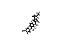 Cc1cc(C(F)(F)F)nc2c1cc(C(=O)c1c(Cl)ccc(C(=O)N3CC[C@@H](O)[C@H](C)C3)c1Cl)n2C